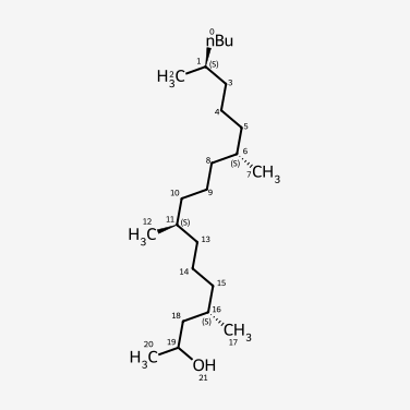 CCCC[C@H](C)CCC[C@H](C)CCC[C@H](C)CCC[C@H](C)CC(C)O